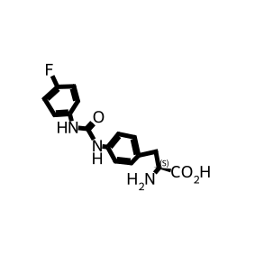 N[C@@H](Cc1ccc(NC(=O)Nc2ccc(F)cc2)cc1)C(=O)O